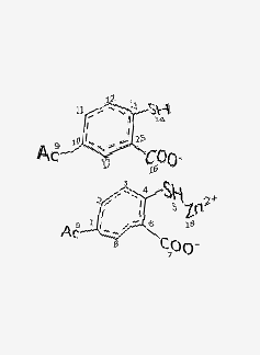 CC(=O)c1ccc(S)c(C(=O)[O-])c1.CC(=O)c1ccc(S)c(C(=O)[O-])c1.[Zn+2]